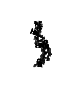 Cc1ncc(-c2ccc3cnc(NC(=O)[C@H]4CC[C@H](NCCC(F)(F)F)CC4)cc3c2)o1